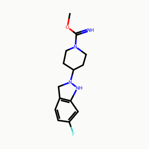 COC(=N)N1CCC(N2Cc3ccc(F)cc3N2)CC1